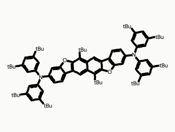 CC(C)(C)c1cc(N(c2cc(C(C)(C)C)cc(C(C)(C)C)c2)c2ccc3c(c2)oc2c(C(C)(C)C)c4cc5c(oc6cc(N(c7cc(C(C)(C)C)cc(C(C)(C)C)c7)c7cc(C(C)(C)C)cc(C(C)(C)C)c7)ccc65)c(C(C)(C)C)c4cc23)cc(C(C)(C)C)c1